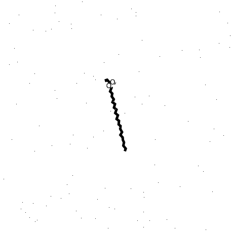 C=CC(OC)OCCCCCCCCCCCCCCCCCCCCCCCC